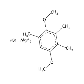 Br.COc1cc(C)c(OC)c(C)c1C.[MgH2]